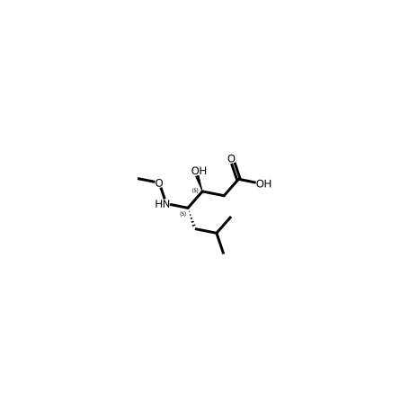 CON[C@@H](CC(C)C)[C@@H](O)CC(=O)O